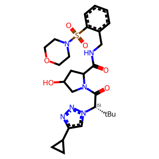 CC(C)(C)[C@@H](C(=O)N1CC(O)CC1C(=O)NCc1ccccc1S(=O)(=O)N1CCOCC1)n1cc(C2CC2)nn1